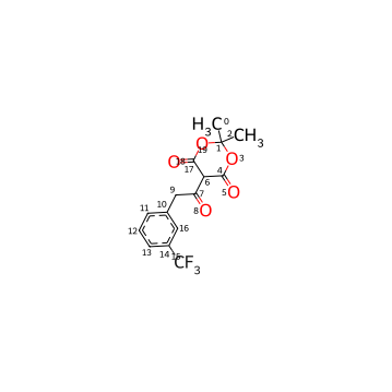 CC1(C)OC(=O)C(C(=O)Cc2cccc(C(F)(F)F)c2)C(=O)O1